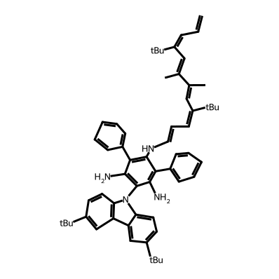 C=C\C=C(/C=C(C)/C(C)=C/C(=C\C=C\Nc1c(-c2ccccc2)c(N)c(-n2c3ccc(C(C)(C)C)cc3c3cc(C(C)(C)C)ccc32)c(N)c1-c1ccccc1)C(C)(C)C)C(C)(C)C